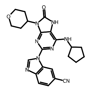 N#Cc1ccc2ncn(-c3nc(NC4CCCC4)c4[nH]c(=O)n(C5CCOCC5)c4n3)c2c1